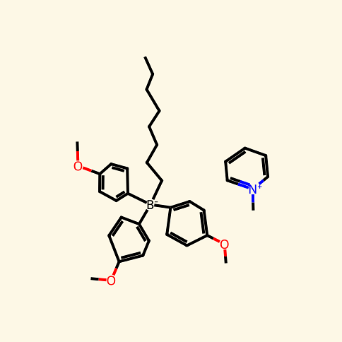 CCCCCCCC[B-](c1ccc(OC)cc1)(c1ccc(OC)cc1)c1ccc(OC)cc1.C[n+]1ccccc1